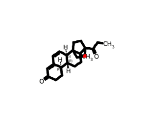 CCC(=O)C12CCC3(CC1)[C@@H]1C=CC4=CC(=O)CC[C@@H]4[C@H]1CC[C@]23C